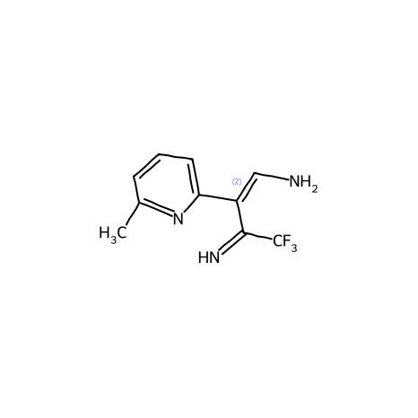 Cc1cccc(/C(=C/N)C(=N)C(F)(F)F)n1